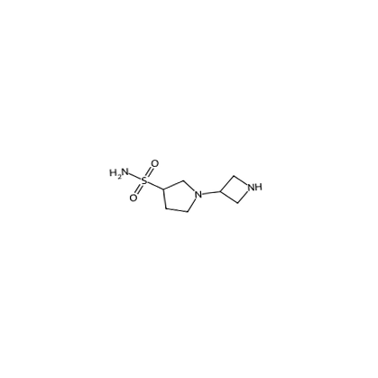 NS(=O)(=O)C1CCN(C2CNC2)C1